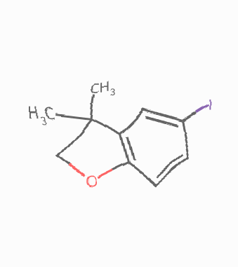 CC1(C)COc2ccc(I)cc21